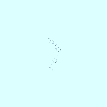 Cc1cc(SCCc2ccc3nc(-c4ccc(C(F)(F)F)cc4)sc3c2)ccc1CCC(=O)O